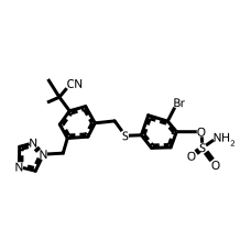 CC(C)(C#N)c1cc(CSc2ccc(OS(N)(=O)=O)c(Br)c2)cc(Cn2cncn2)c1